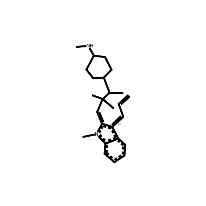 C=C/C=c1\c(=C/C(C)(C)C(C)C2CCC(NC)CC2)n(C)c2ccccc12